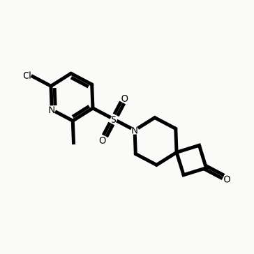 Cc1nc(Cl)ccc1S(=O)(=O)N1CCC2(CC1)CC(=O)C2